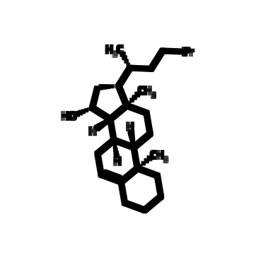 CC(C)CC[C@@H](C)[C@H]1C[C@@H](O)[C@H]2[C@@H]3CC=C4CCCC[C@]4(C)[C@H]3CC[C@@]21C